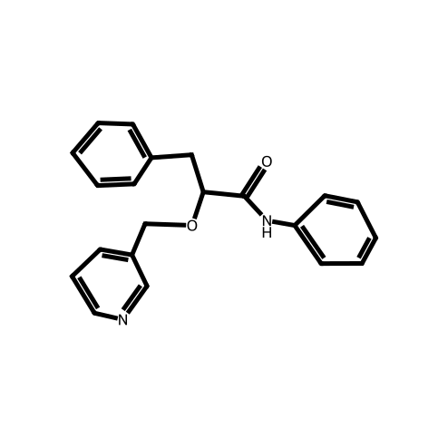 O=C(Nc1ccccc1)C(Cc1ccccc1)OCc1cccnc1